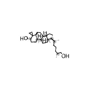 C[C@@H](CO)CCC[C@@H](C)[C@H]1CC[C@H]2[C@@H]3CC=C4C5(CC5)[C@@H](O)CC[C@]4(C)[C@H]3CC[C@]12C